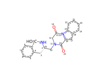 O=C(O)N[C@@H](Cc1ccccc1)CN1CC(=O)n2c(cc3ccccc32)C1=O